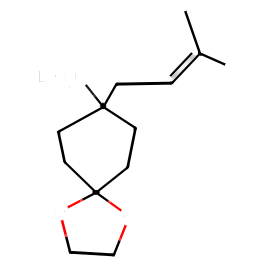 CCOC(=O)C1(CC=C(C)C)CCC2(CC1)OCCO2